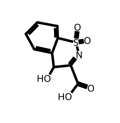 O=C(O)C1=NS(=O)(=O)c2ccccc2C1O